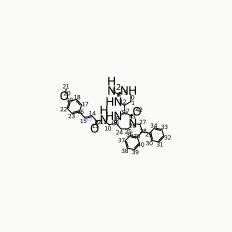 CCC(NC(=N)N)[C@@H]1N[C@H](CNC(=O)/C=C/c2ccc(OC)cc2)CCN(CC(c2ccccc2)c2ccccc2)C1=O